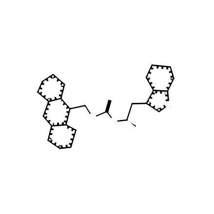 O=C[C@H](Cc1c[nH]c2ccccc12)NC(=O)OCc1c2ccccc2cc2ccccc12